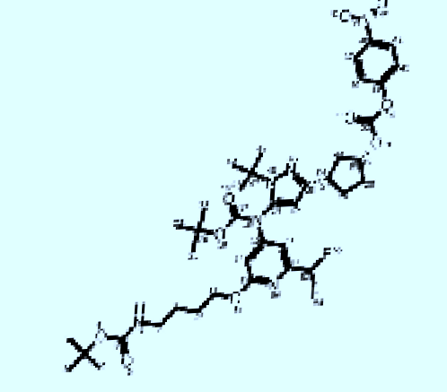 CC(C)(C)OC(=O)NCCCCOc1cc(N(C(=O)OC(C)(C)C)c2cc([C@H]3CC[C@@H](OC(=O)Oc4ccc([N+](=O)[O-])cc4)C3)nn2C(C)(C)C)cc(C(F)F)n1